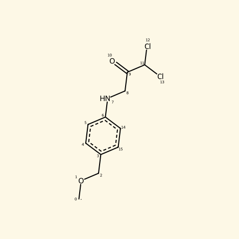 [CH2]OCc1ccc(NCC(=O)C(Cl)Cl)cc1